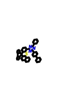 c1ccc(-c2ccc(-c3nc(-c4ccccc4)nc(-c4cccc5c4Sc4c(ccc6ccccc46)C54c5ccccc5-c5ccccc54)n3)cc2)cc1